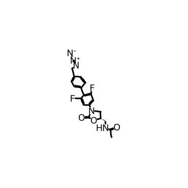 CC(=O)NC[C@H]1CN(c2cc(F)c(-c3ccc(CN=[N+]=[N-])cc3)c(F)c2)C(=O)O1